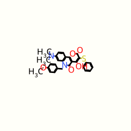 COc1ccc(Cn2c(=O)c3c(O)c(Sc4ccccc4)c(=O)oc3c3ccc(N(C)C)cc32)cc1